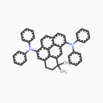 CC1(C)CCc2cc(N(c3ccccc3)c3ccccc3)c3ccc4ccc(N(c5ccccc5)c5ccccc5)c5cc1c2c3c45